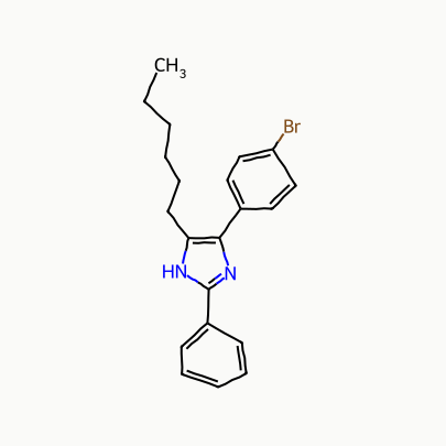 CCCCCCc1[nH]c(-c2ccccc2)nc1-c1ccc(Br)cc1